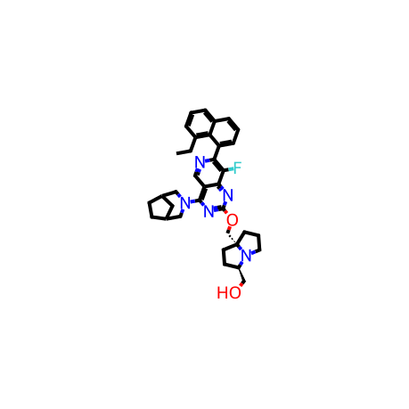 CCc1cccc2cccc(-c3ncc4c(N5CC6CCC(C6)C5)nc(OC[C@]56CCCN5[C@@H](CO)CC6)nc4c3F)c12